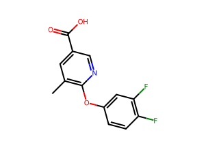 Cc1cc(C(=O)O)cnc1Oc1ccc(F)c(F)c1